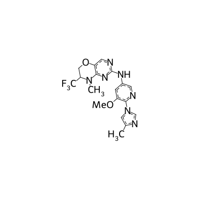 COc1cc(Nc2ncc3c(n2)N(C)C(C(F)(F)F)CO3)cnc1-n1cnc(C)c1